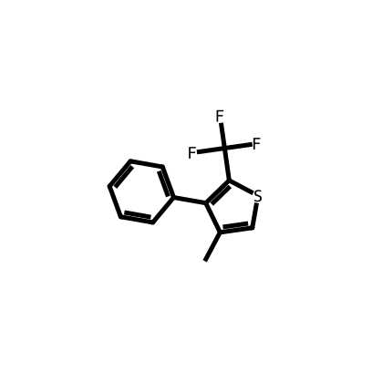 Cc1csc(C(F)(F)F)c1-c1ccccc1